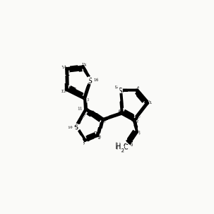 C=Cc1ccsc1-c1ccsc1-c1cccs1